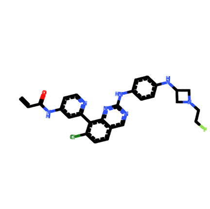 C=CC(=O)Nc1ccnc(-c2c(Cl)ccc3cnc(Nc4ccc(NC5CN(CCF)C5)cc4)nc23)c1